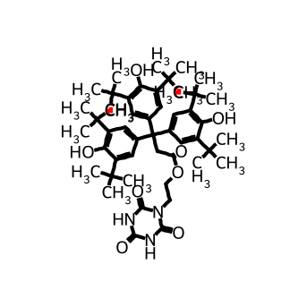 CC(C)(C)c1cc(C(CC(=O)OCCn2c(=O)[nH]c(=O)[nH]c2=O)(c2cc(C(C)(C)C)c(O)c(C(C)(C)C)c2)c2cc(C(C)(C)C)c(O)c(C(C)(C)C)c2)cc(C(C)(C)C)c1O